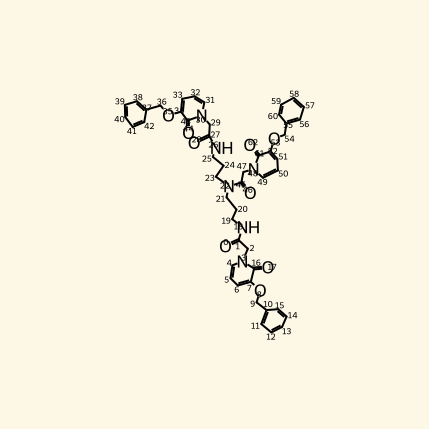 O=C(Cn1cccc(OCc2ccccc2)c1=O)NCCCN(CCCNC(=O)Cn1cccc(OCc2ccccc2)c1=O)C(=O)Cn1cccc(OCc2ccccc2)c1=O